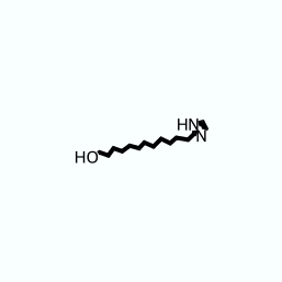 OCCCCCCCCCCCCc1ncc[nH]1